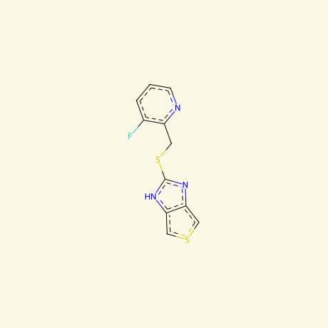 Fc1cccnc1CSc1nc2cscc2[nH]1